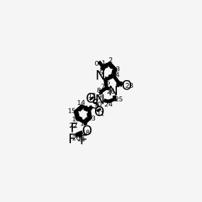 Cc1ccc2c(n1)C1CN(S(=O)(=O)c3cccc(OC(F)(F)F)c3)CCN1C2=O